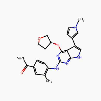 CNC(=O)c1ccc(Nc2nc(O[C@H]3CCOC3)c3c(-c4ccn(C)c4)c[nH]c3n2)c(C)c1